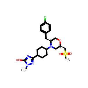 Cn1nc(C2CCC(N3C[C@H](CS(C)(=O)=O)OC[C@@H]3Cc3ccc(Cl)cc3)CC2)nc1O